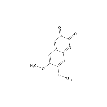 COc1cc2c(cc1OC)=NC(=O)C(=O)C=2